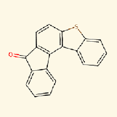 O=C1c2ccccc2-c2c1ccc1sc3ccccc3c21